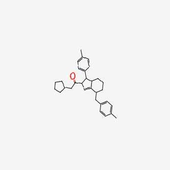 Cc1ccc(CC2CCCC3C2=CC(C(=O)CC2CCCC2)C3c2ccc(C)cc2)cc1